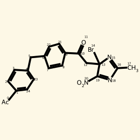 CC(=O)c1ccc(Cc2ccc(C(=O)CC3(Br)N=C(C)N=C3[N+](=O)[O-])cc2)cc1